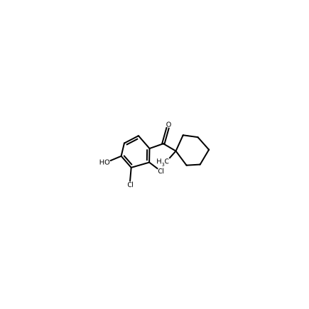 CC1(C(=O)c2ccc(O)c(Cl)c2Cl)CCCCC1